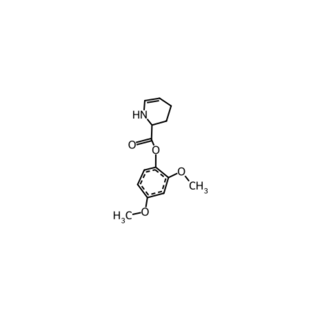 COc1ccc(OC(=O)C2CCC=CN2)c(OC)c1